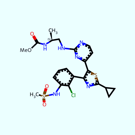 COC(=O)N[C@@H](C)CNc1nccc(-c2sc(C3CC3)nc2-c2cccc(NS(C)(=O)=O)c2Cl)n1